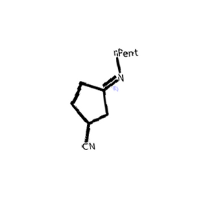 CCCCC/N=C1\CCC(C#N)C1